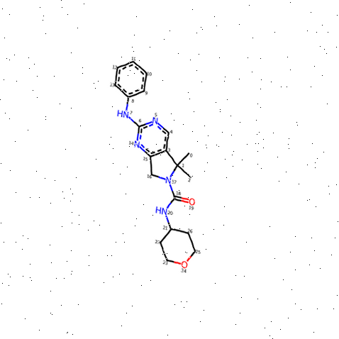 CC1(C)c2cnc(Nc3ccccc3)nc2CN1C(=O)NC1CCOCC1